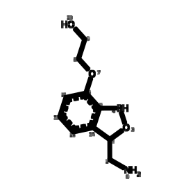 NCC1OBc2c(OCCO)cccc21